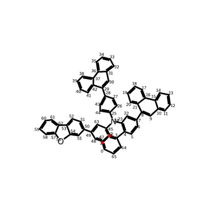 c1ccc(-c2ccc(-c3cc4ccccc4c4ccccc34)cc2N(c2ccc(-c3cc4ccccc4c4ccccc34)cc2)c2cccc(-c3ccc4c(c3)oc3ccccc34)c2)cc1